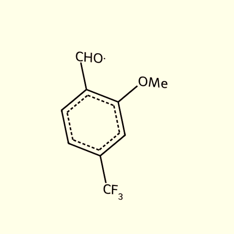 COc1cc(C(F)(F)F)ccc1[C]=O